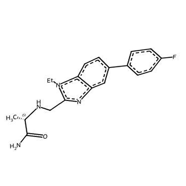 CCn1c(CN[C@@H](C)C(N)=O)nc2cc(-c3ccc(F)cc3)ccc21